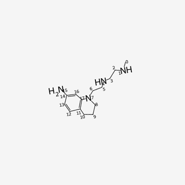 CNCCNCCN1CCCc2ccc(N)cc21